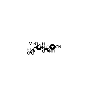 COc1nc(NC(=O)C2CNc3cc(C#N)ccc3O2)ccc1C[C@H]1COC(=O)N1